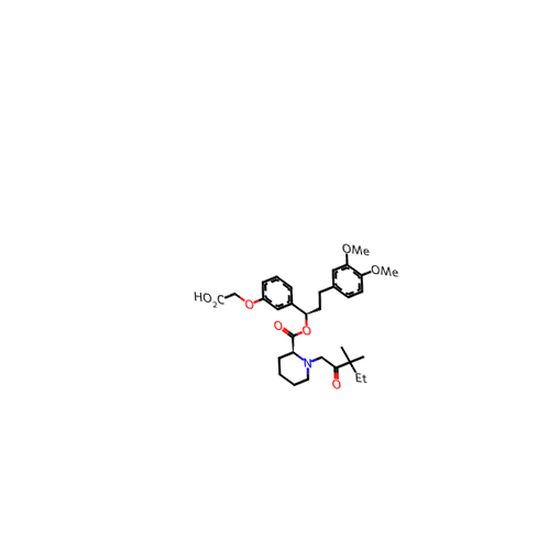 CCC(C)(C)C(=O)CN1CCCC[C@H]1C(=O)O[C@H](CCc1ccc(OC)c(OC)c1)c1cccc(OCC(=O)O)c1